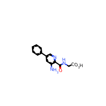 Nc1cc(-c2ccccc2)cnc1C(=O)NCC(=O)O